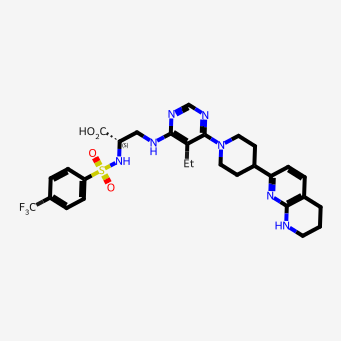 CCc1c(NC[C@H](NS(=O)(=O)c2ccc(C(F)(F)F)cc2)C(=O)O)ncnc1N1CCC(c2ccc3c(n2)NCCC3)CC1